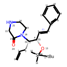 C=CC[C@@H]([C@H](/C=C/c1ccccc1)O[Si](C)(C)C(C)(C)C)N1CCNCC1=O